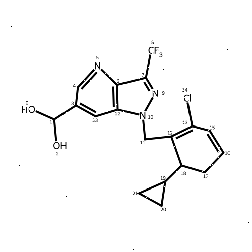 OC(O)c1cnc2c(C(F)(F)F)nn(CC3=C(Cl)C=CCC3C3CC3)c2c1